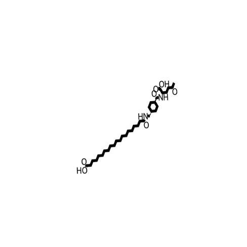 CC(=O)CCC(NC(=O)[C@H]1CC[C@H](CNC(=O)CCCCCCCCCCCCCCCCCCC(=O)O)CC1)C(=O)O